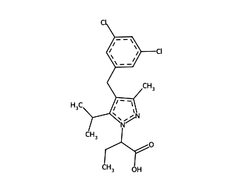 CCC(C(=O)O)n1nc(C)c(Cc2cc(Cl)cc(Cl)c2)c1C(C)C